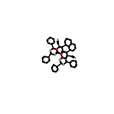 N#Cc1ccc(-c2nc(-c3ccccc3)nc(-c3ccccc3)n2)cc1-c1cccc2cccc(-c3cc(-c4nc(-c5ccccc5)nc(-c5ccccc5)n4)ccc3C#N)c12